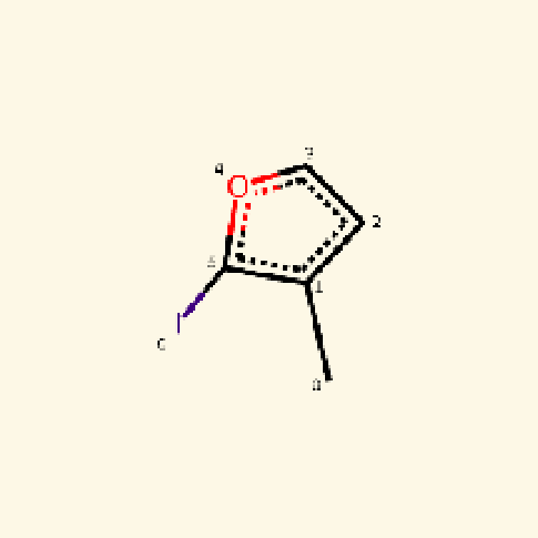 Cc1ccoc1I